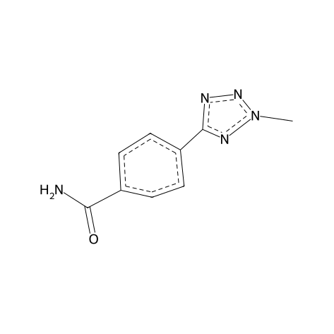 Cn1nnc(-c2ccc(C(N)=O)cc2)n1